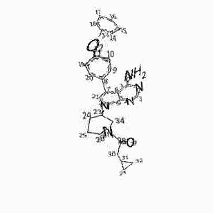 Nc1ncnc2c1c(-c1ccc(Oc3ccccc3)cc1)cn2[C@@H]1CCCN(C(=O)CC2CC2)C1